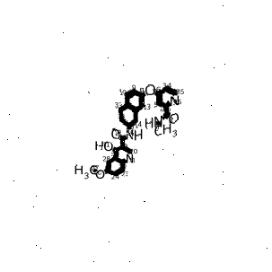 CNC(=O)c1cc(Oc2ccc3c(c2)CC(NC(=O)c2cnc4ccc(OC)cc4c2O)CC3)ccn1